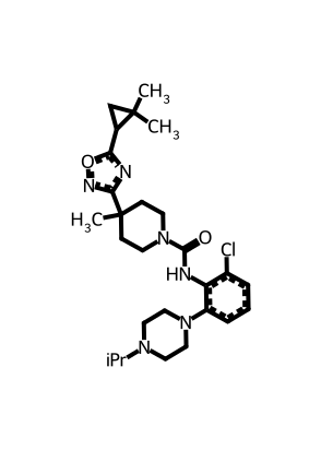 CC(C)N1CCN(c2cccc(Cl)c2NC(=O)N2CCC(C)(c3noc(C4CC4(C)C)n3)CC2)CC1